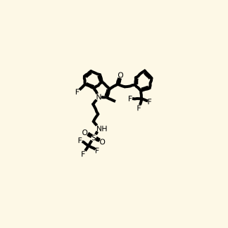 Cc1c(C(=O)Cc2ccccc2C(F)(F)F)c2cccc(F)c2n1CCCNS(=O)(=O)C(F)(F)F